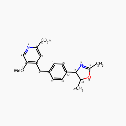 COc1cnc(C(=O)O)cc1Cc1ccc(C2N=C(C)OC2C)cc1